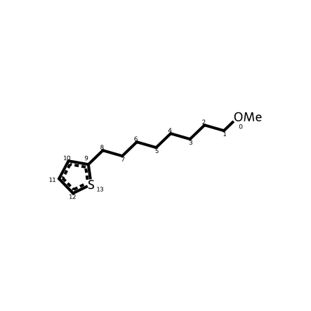 COCCCCCCCCc1cccs1